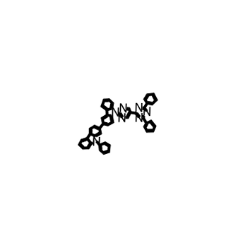 c1ccc(-c2nc(-c3ccccc3)nc(-c3cnc(-n4c5ccccc5c5cc(-c6ccc7c8ccccc8n(-c8ccccc8)c7c6)ccc54)nc3)n2)cc1